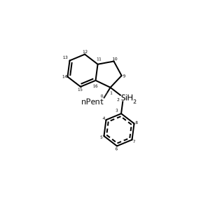 CCCCCC1([SiH2]c2ccccc2)CCC2CC=CC=C21